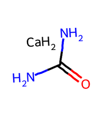 NC(N)=O.[CaH2]